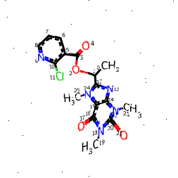 CC(OC(=O)c1cccnc1Cl)c1nc2c(c(=O)n(C)c(=O)n2C)n1C